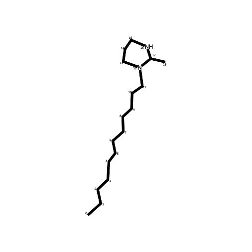 CCCCCCCCCCCCN1CCCNC1C